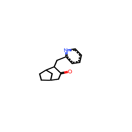 O=C1CC2CCC(C2)C1Cc1ccccn1